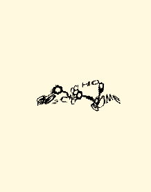 COP(=O)(C#Cc1cc(Cl)c(C(=O)NC(Cc2cccc(S(C)(=O)=O)c2)C(=O)O)c(Cl)c1)c1cccc(O)c1